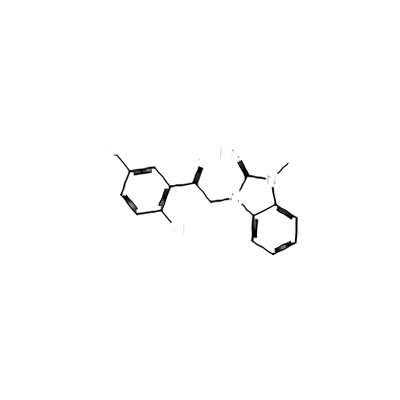 Cn1c(=N)n(CC(=O)c2cc(Cl)ccc2Cl)c2ccccc21